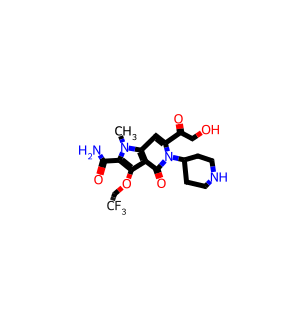 Cn1c(C(N)=O)c(OCC(F)(F)F)c2c(=O)n(C3CCNCC3)c(C(=O)CO)cc21